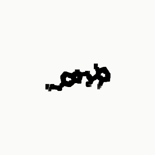 Fc1cccc(F)c1C(Cl)=Nc1nc2ccc(OC(F)(F)F)cc2s1